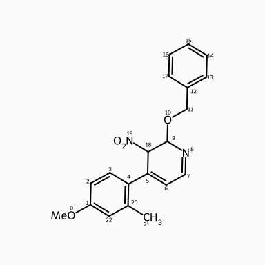 COc1ccc(C2=CC=NC(OCc3ccccc3)C2[N+](=O)[O-])c(C)c1